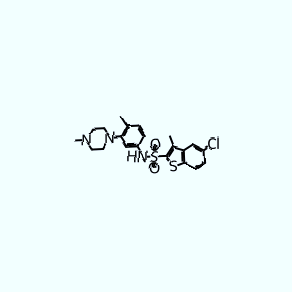 Cc1ccc(NS(=O)(=O)c2sc3ccc(Cl)cc3c2C)cc1N1CCN(C)CC1